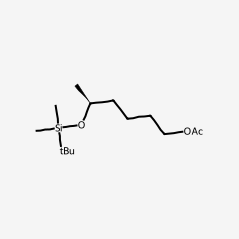 CC(=O)OCCCC[C@H](C)O[Si](C)(C)C(C)(C)C